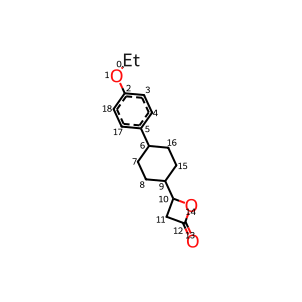 CCOc1ccc(C2CCC(C3CC(=O)O3)CC2)cc1